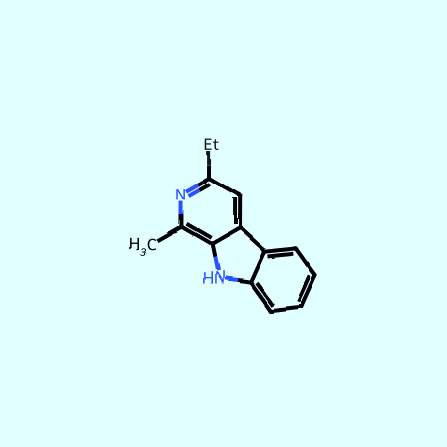 CCc1cc2c([nH]c3ccccc32)c(C)n1